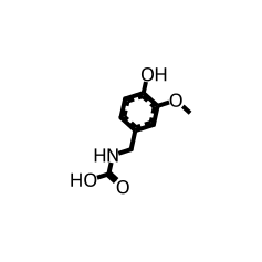 COc1cc(CNC(=O)O)ccc1O